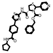 O=C(NC1CCCC1)C1=CCC(c2csc(NC(=O)[C@@H]3CSC(c4ccncc4)N3C(=O)OCc3ccccc3)n2)C=C1